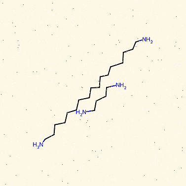 NCCCCCCCCCCCCCCCCCN.NCCCCN